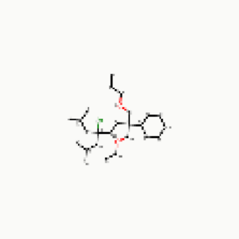 CCCOCC(CCC(Br)(CC(C)C)CC(C)C)(COCC)C1CCCCC1